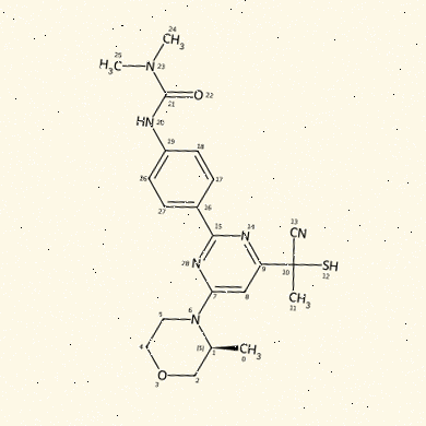 C[C@H]1COCCN1c1cc(C(C)(S)C#N)nc(-c2ccc(NC(=O)N(C)C)cc2)n1